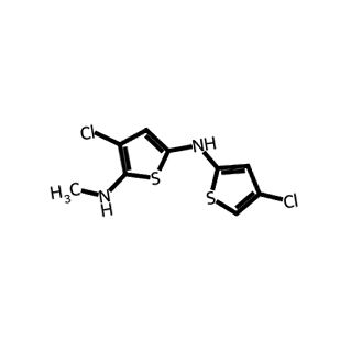 CNc1sc(Nc2cc(Cl)cs2)cc1Cl